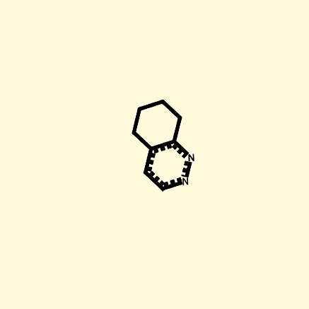 [c]1cc2c(nn1)CCCC2